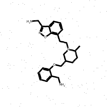 CC1CCC(COc2ccccc2CN)CN1CCc1cccc2c(CN)noc12